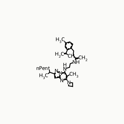 C=C(CCc1ccc(C)cc1C(=C)C)NCCNc1c(C)c(N2CCC2)nc2cc(C(C)CCCCC)nn12